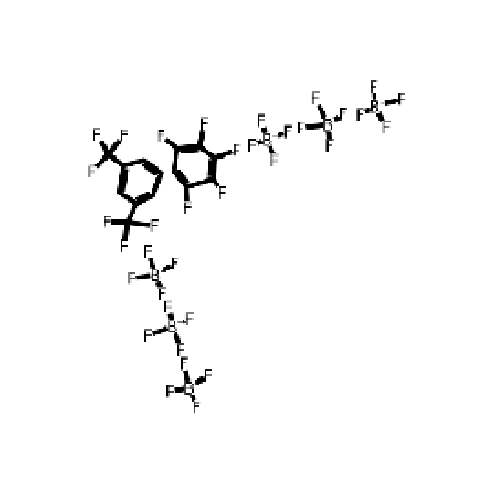 FC(F)(F)c1cccc(C(F)(F)F)c1.F[B-](F)(F)F.F[B-](F)(F)F.F[B-](F)(F)F.F[B-](F)(F)F.F[B-](F)(F)F.F[B-](F)(F)F.Fc1cc(F)c(F)c(F)c1F